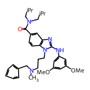 COc1cc(Nc2nc3cc(C(=O)N(CC(C)C)CC(C)C)ccc3n2CCCN(C)Cc2ccccc2)cc(OC)c1